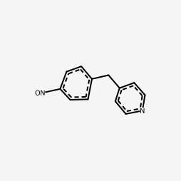 O=Nc1ccc(Cc2ccncc2)cc1